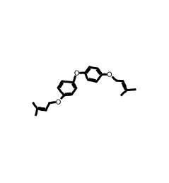 CC(C)=CCOc1ccc(Oc2ccc(OCC=C(C)C)cc2)cc1